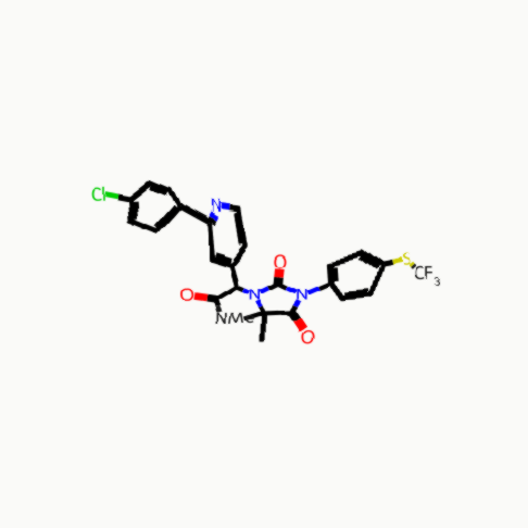 CNC(=O)C(c1ccnc(-c2ccc(Cl)cc2)c1)N1C(=O)N(c2ccc(SC(F)(F)F)cc2)C(=O)C1(C)C